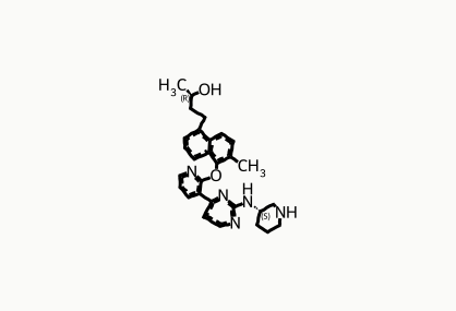 Cc1ccc2c(CC[C@@H](C)O)cccc2c1Oc1ncccc1-c1ccnc(N[C@H]2CCCNC2)n1